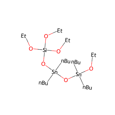 CCC[CH2][Sn]([CH2]CCC)([O]CC)[O][Sn]([CH2]CCC)([CH2]CCC)[O][Si](OCC)(OCC)OCC